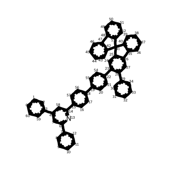 c1ccc(-c2cc(-c3ccccc3)nc(-c3ccc(-c4ccc(-c5cc6c(cc5-c5ccccc5)-c5ccccc5C65c6ccccc6-c6ccccc65)cc4)cc3)c2)cc1